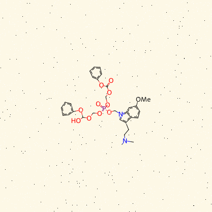 COc1ccc2c(CCN(C)C)cn(COP(=O)(OCOC(=O)Oc3ccccc3)OCOC(O)Oc3ccccc3)c2c1